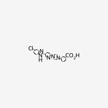 O=C(O)c1cccc(N2CCN(c3ccc(-c4nc5cc(Cl)ccc5[nH]4)cn3)CC2)c1